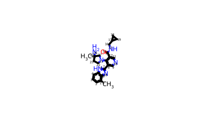 Cc1cccc2[nH]c(-c3cncc(C(=O)NCC4CC4)c3N3CC[C@](C)(N)C3)nc12